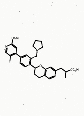 COc1cc(-c2ccc(C3CCc4ccc(CC(C)C(=O)O)cc4O3)c(CN3CCCC3)c2)c(F)cn1